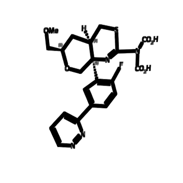 COC[C@H]1C[C@H]2CSC(N(C(=O)O)C(=O)O)=N[C@@]2(c2cc(-c3cccnn3)ccc2F)CO1